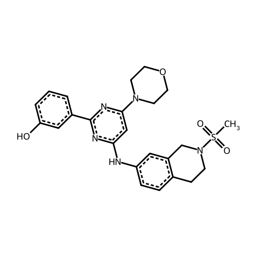 CS(=O)(=O)N1CCc2ccc(Nc3cc(N4CCOCC4)nc(-c4cccc(O)c4)n3)cc2C1